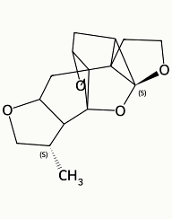 C[C@@H]1COC2CC34C5CC6C37CCO[C@]67OC4(CO5)C21